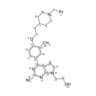 CC(=O)CN1CCC(CCOc2ccc(-c3nc(C#N)nc4c3ccn4CCO)cc2C)CC1